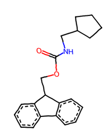 O=C(NCC1CCCC1)OCC1c2ccccc2-c2ccccc21